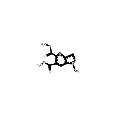 COC(=O)c1cc2c(cnn2C)nc1C(=O)OC